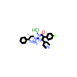 C[C@H](CNc1nc(-c2ccncc2)c(-c2ccc(F)cc2)c(=O)n1C)[C@@H](N)c1ccccc1.Cl